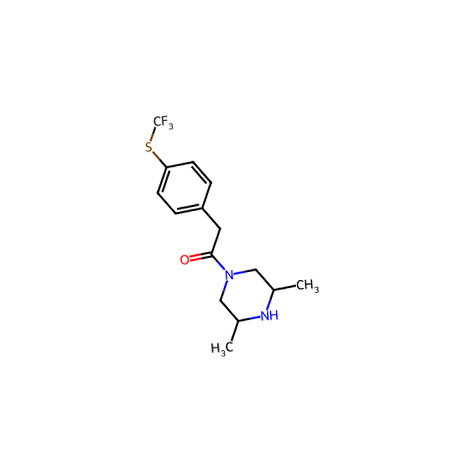 CC1CN(C(=O)Cc2ccc(SC(F)(F)F)cc2)CC(C)N1